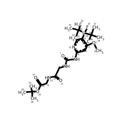 COc1cc(NC(=O)NCC(=O)NCC(=O)OC(C)(C)C)ncc1[Si](F)(C(C)(C)C)C(C)(C)C